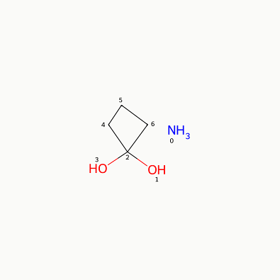 N.OC1(O)CCC1